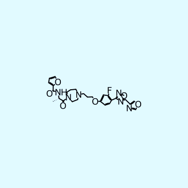 C[C@H](NC(=O)c1ccco1)C(=O)N1CCCN(CCCOc2ccc(-c3noc(-c4cocn4)n3)c(F)c2)CC1